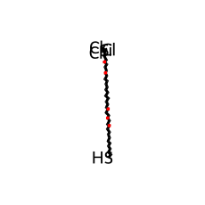 SCCCCCCCCCCCCCCCCCCCCCCCCCCCCCCCCCCCCC[Si](Cl)(Cl)Cl